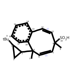 CC(C)(C)C1CC1C1(C)/C=C\C(C)(S(=O)(=O)O)/C=C\c2ccccc21